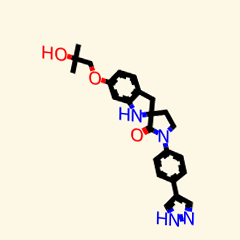 CC(C)(O)COc1ccc2c(c1)NC1(CCN(c3ccc(-c4cn[nH]c4)cc3)C1=O)C2